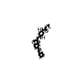 CN(C)CC(=O)NC1CCC(NCC2COc3ccc(OCc4ccccc4)cc3O2)CC1